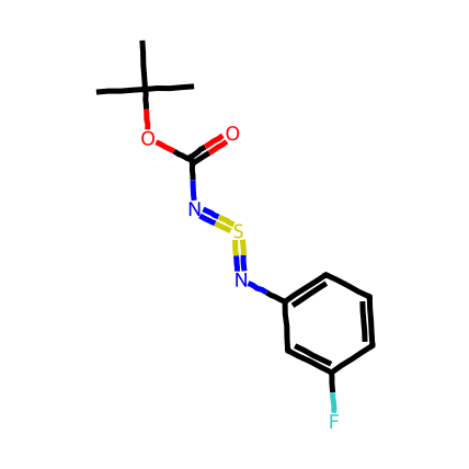 CC(C)(C)OC(=O)N=S=Nc1cccc(F)c1